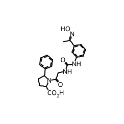 C/C(=N\O)c1cccc(NC(=O)NCC(=O)N2C(C(=O)O)CCC2c2ccccc2)c1